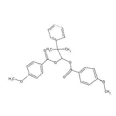 COc1ccc(C(=O)OC(OC(=O)c2ccc(OC)cc2)C(C)(C)c2[c]cc[c]c2)cc1